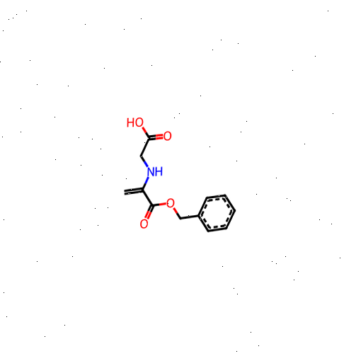 C=C(NCC(=O)O)C(=O)OCc1ccccc1